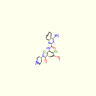 COc1cc(C(=O)Nc2ccncc2)c(Cl)c(NC(=O)c2nc(N)c3ccccc3n2)c1Cl